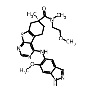 COCCN(C)C(=O)[C@@]1(C)CCc2c(sc3ncnc(Nc4cc5cn[nH]c5cc4OC)c23)C1